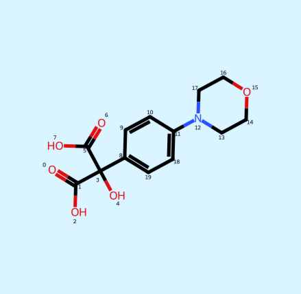 O=C(O)C(O)(C(=O)O)c1ccc(N2CCOCC2)cc1